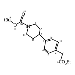 CCOC(=O)Cc1ccc(C2CCN(C(=O)OC(C)(C)C)CC2)cc1